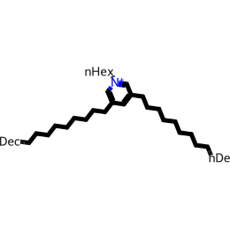 CCCCCCCCCCCCCCCCCCCc1cc(CCCCCCCCCCCCCCCCCCC)c[n+](CCCCCC)c1